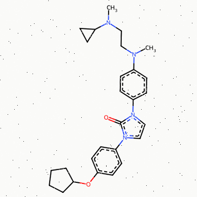 CN(CCN(C)C1CC1)c1ccc(-n2ccn(-c3ccc(OC4CCCC4)cc3)c2=O)cc1